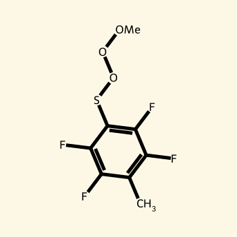 COOOSc1c(F)c(F)c(C)c(F)c1F